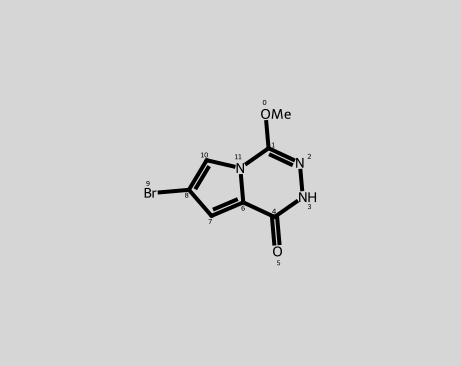 COc1n[nH]c(=O)c2cc(Br)cn12